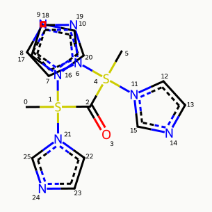 CS(C(=O)S(C)(n1ccnc1)n1ccnc1)(n1ccnc1)n1ccnc1